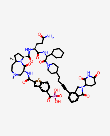 CN1CC[C@H]2CC[C@@H](C(=O)N[C@@H](CCC(N)=O)C(=O)N[C@H](C(=O)N3CCC(CCC#Cc4cccc5c4CN(C4CCC(=O)NC4=O)C5=O)CC3)C3CCCCC3)N2C(=O)[C@@H](NC(=O)c2cc3cc(C(=O)P(=O)(O)O)ccc3s2)C1